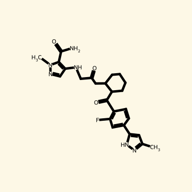 Cc1cc(-c2ccc(C(=O)C3CCCCC3CC(=O)CNc3cnn(C)c3C(N)=O)c(F)c2)[nH]n1